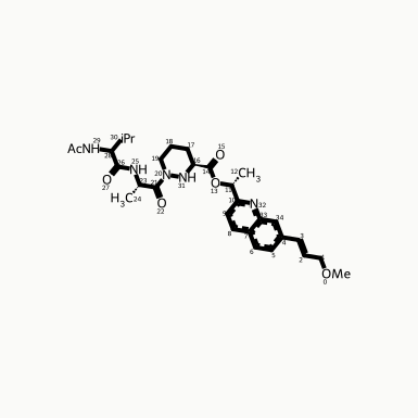 COC/C=C/c1ccc2ccc([C@@H](C)OC(=O)[C@@H]3CCCN(C(=O)[C@H](C)NC(=O)C(NC(C)=O)C(C)C)N3)nc2c1